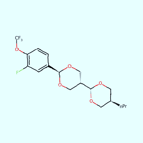 CCC[C@H]1CO[C@H]([C@H]2CO[C@H](c3ccc(OC(F)(F)F)c(F)c3)OC2)OC1